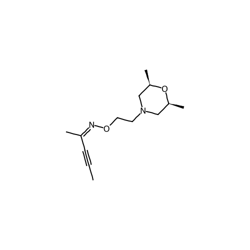 CC#C/C(C)=N\OCCN1C[C@@H](C)O[C@@H](C)C1